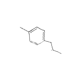 C[CH]Cc1ccc(C)cc1